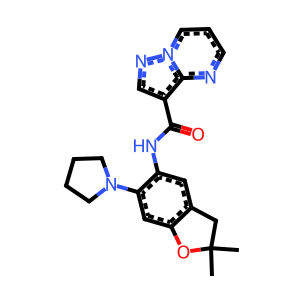 CC1(C)Cc2cc(NC(=O)c3cnn4cccnc34)c(N3CCCC3)cc2O1